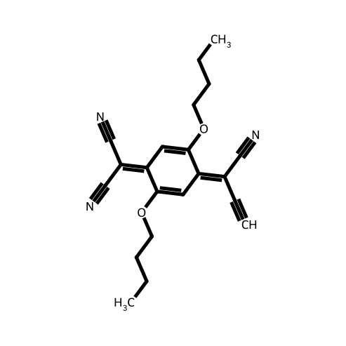 C#C/C(C#N)=c1\cc(OCCCC)c(=C(C#N)C#N)cc1OCCCC